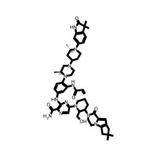 C=CC(=O)Nc1cc(Nc2nc(N3CCCC(N4CCn5c(cc6c5CC(C)(C)C6)C4=O)C3CO)cnc2C(N)=O)ccc1N1CCN(C2CCN(c3ccc4c(c3)NC(=O)C4(C)C)[C@@H](C)C2)C[C@@H]1C